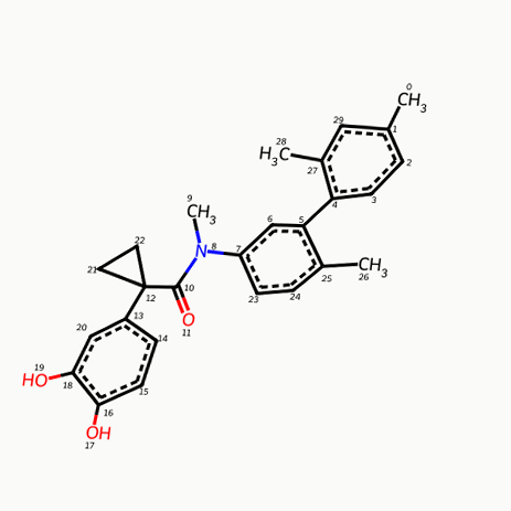 Cc1ccc(-c2cc(N(C)C(=O)C3(c4ccc(O)c(O)c4)CC3)ccc2C)c(C)c1